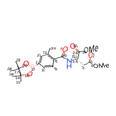 COC(=O)C[C@H](NC(=O)c1ccc(B2OC(C)(C)C(C)(C)O2)cc1C)C(=O)OC